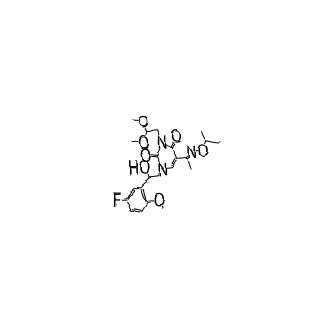 COc1ccc(F)cc1C(O)Cn1cc(/C(C)=N/OC(C)C)c(=O)n(CC(OC)OC)c1=O